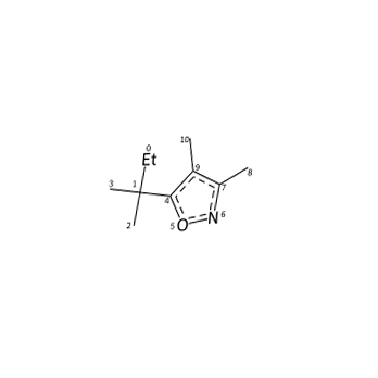 CCC(C)(C)c1onc(C)c1C